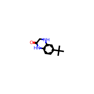 CC(C)(C)c1ccc2c(c1)NCC(=O)N2